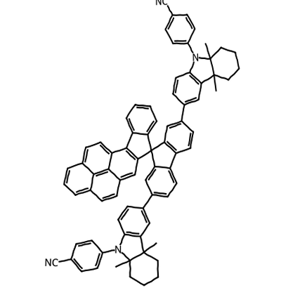 CC12CCCCC1(C)N(c1ccc(C#N)cc1)c1ccc(-c3ccc4c(c3)C3(c5cc(-c6ccc7c(c6)C6(C)CCCCC6(C)N7c6ccc(C#N)cc6)ccc5-4)c4ccccc4-c4c3cc3ccc5cccc6ccc4c3c56)cc12